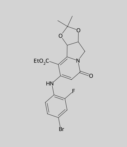 CCOC(=O)c1c(Nc2ccc(Br)cc2F)cc(=O)n2c1C1OC(C)(C)OC1C2